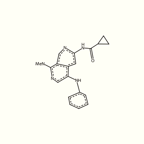 CNc1ncc(Nc2ccccc2)c2cc(NC(=O)C3CC3)ncc12